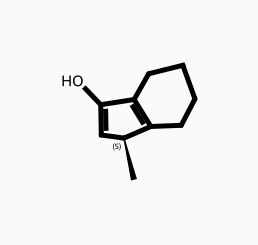 C[C@H]1C=C(O)C2=C1CCCC2